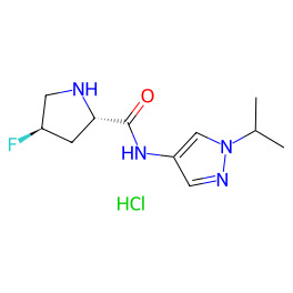 CC(C)n1cc(NC(=O)[C@@H]2C[C@@H](F)CN2)cn1.Cl